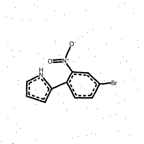 O=[N+]([O-])c1cc(Br)ccc1-c1ccc[nH]1